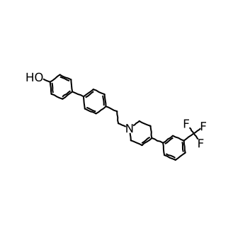 Oc1ccc(-c2ccc(CCN3CC=C(c4cccc(C(F)(F)F)c4)CC3)cc2)cc1